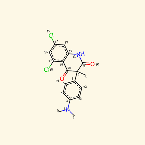 CN(C)c1ccc(C2(C)C(=O)Nc3cc(Cl)cc(Cl)c3C2=O)cc1